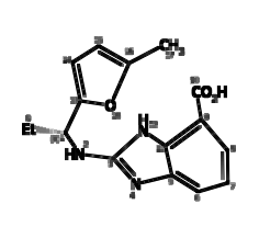 CC[C@@H](Nc1nc2cccc(C(=O)O)c2[nH]1)c1ccc(C)o1